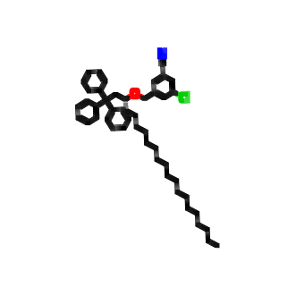 CCCCCCCCCCCCCCCCCC[C@H](CC(c1ccccc1)(c1ccccc1)c1ccccc1)OCc1cc(Cl)cc(C#N)c1